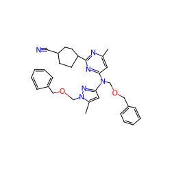 Cc1cc(N(COCc2ccccc2)c2cc(C)n(COCc3ccccc3)n2)nc(C2CCC(C#N)CC2)n1